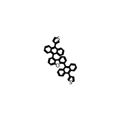 c1cc(-c2c3ccccc3c(-c3ccsc3)c3ccccc23)c2c(c1)oc1c(-c3c4ccccc4c(-c4ccsc4)c4ccccc34)cccc12